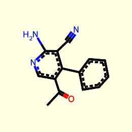 CC(=O)c1cnc(N)c(C#N)c1-c1ccccc1